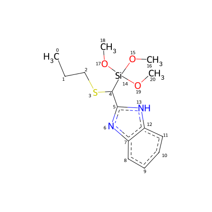 CCCSC(c1nc2ccccc2[nH]1)[Si](OC)(OC)OC